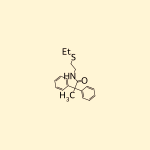 CCSCCNC(=O)C(C)(c1ccccc1)c1ccccc1